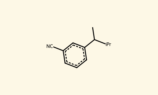 CC(C)C(C)c1cccc(C#N)c1